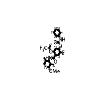 COc1ncc(C)c(NC(=O)c2cc(F)c(OC(=O)Nc3ccccc3)cc2O[C@@H](C)C(F)(F)F)c1C